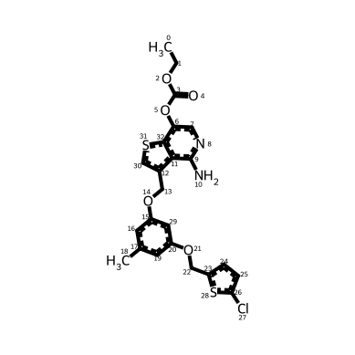 CCOC(=O)Oc1cnc(N)c2c(COc3cc(C)cc(OCc4ccc(Cl)s4)c3)csc12